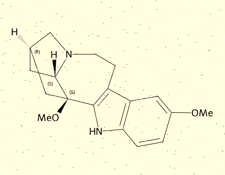 COc1ccc2[nH]c3c(c2c1)CCN1C[C@@H]2C[C@H]1[C@@]3(OC)C2